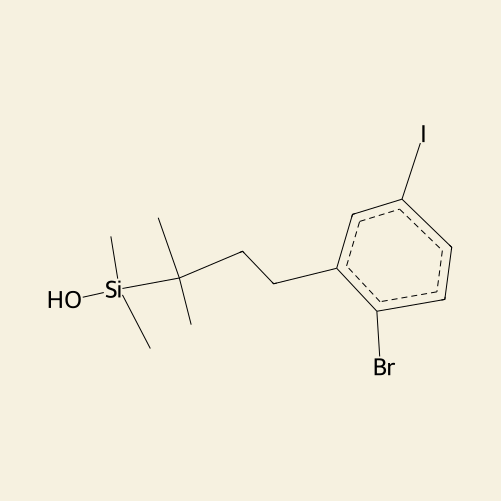 CC(C)(CCc1cc(I)ccc1Br)[Si](C)(C)O